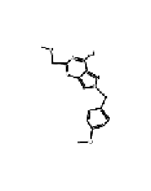 COCc1nc(Cl)c2nn(Cc3ccc(OC)cc3)cc2n1